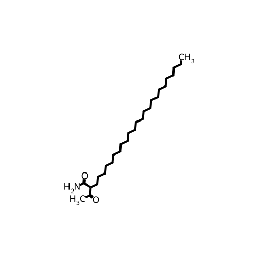 CCCCCCCCCCCCCCCCCCCCCCCCC(C(C)=O)C(N)=O